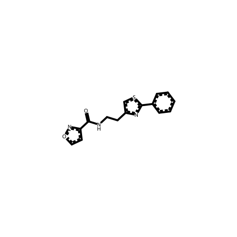 O=C(NCCc1csc(-c2ccccc2)n1)c1ccon1